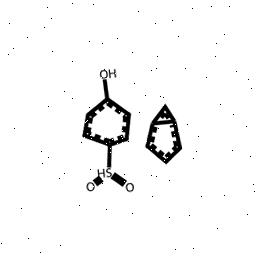 O=[SH](=O)c1ccc(O)cc1.c1cc2cc-2c1